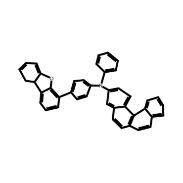 C1=CCC2C(=C1)Oc1c(-c3ccc(N(c4ccccc4)c4ccc5c(ccc6ccc7ccccc7c65)c4)cc3)cccc12